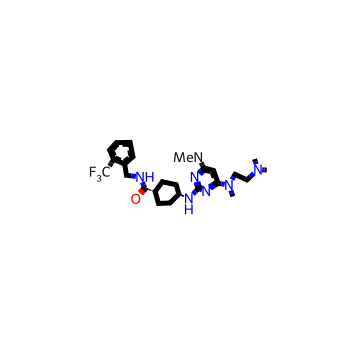 CNc1cc(N(C)CCN(C)C)nc(N[C@H]2CC[C@@H](C(=O)NCc3ccccc3C(F)(F)F)CC2)n1